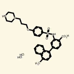 Cc1ccc(-c2ccc(C(=O)O)c(NS(=O)(=O)c3ccc(OCCCN4CCNCC4)cc3)c2)c2ccccc12.Cl.Cl